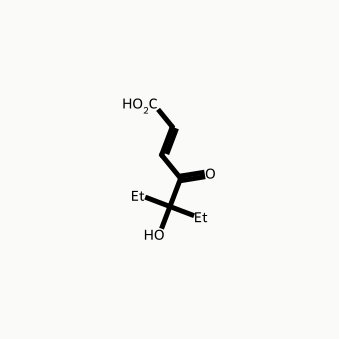 CCC(O)(CC)C(=O)C=CC(=O)O